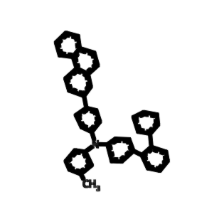 Cc1cccc(N(c2ccc(-c3ccc4c(ccc5ccccc54)c3)cc2)c2ccc(-c3ccccc3-c3ccccc3)cc2)c1